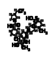 Cc1ccc(NC(=O)N2CCC(CC(F)(F)F)C2)cc1-c1cc(NC(C)CO)nc(N2CCOCC2)c1.Cc1ccc(S(=O)(=O)O)cc1